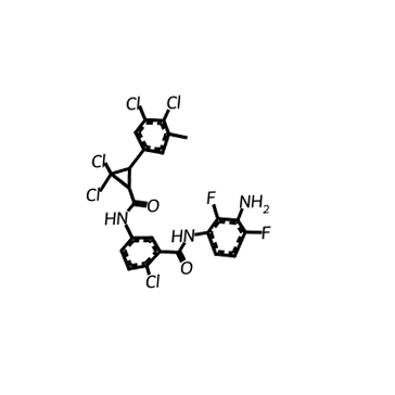 Cc1cc(C2C(C(=O)Nc3ccc(Cl)c(C(=O)Nc4ccc(F)c(N)c4F)c3)C2(Cl)Cl)cc(Cl)c1Cl